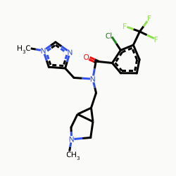 CN1CC2C(C1)C2CN(Cc1cn(C)cn1)C(=O)c1cccc(C(F)(F)F)c1Cl